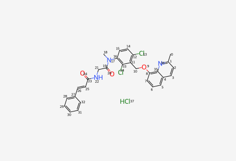 Cc1ccc2cccc(OCc3c(Cl)ccc(N(C)C(=O)CNC(=O)C=Cc4ccccc4)c3Cl)c2n1.Cl